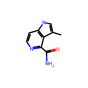 CC1=C[N]c2ccnc(C(N)=O)c21